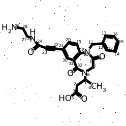 CC(CC(=O)O)N1CC(=O)N(Cc2ccccc2)c2ccc(C#CC(=O)NCCN)cc2C1=O